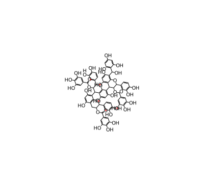 O=C(OC1Cc2c(O)cc(O)c(C3c4c(O)cc(O)c(C5c6c(O)cc(O)c(C(O)c7c(O)cc(O)cc7O)c6OC(c6ccc(O)c(O)c6)C5OC(=O)c5cc(O)c(O)c(O)c5)c4OC(c4ccc(O)c(O)c4)C3OC(=O)c3cc(O)c(O)c(O)c3)c2OC1c1ccc(O)c(O)c1)c1cc(O)c(O)c(O)c1